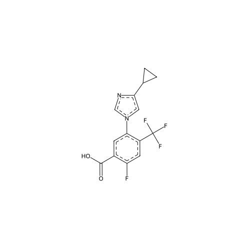 O=C(O)c1cc(-n2cnc(C3CC3)c2)c(C(F)(F)F)cc1F